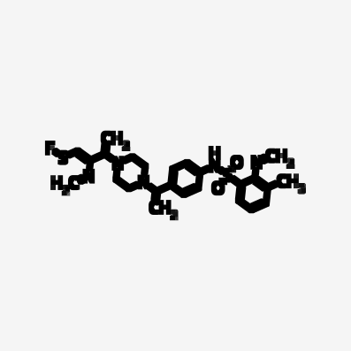 C=N/C(=C\SF)C(=C)N1CCN(C(=C)c2ccc(NS(=O)(=O)c3cccc(C)c3N=C)cc2)CC1